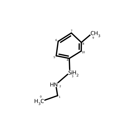 CCN[SiH2]c1cccc(C)c1